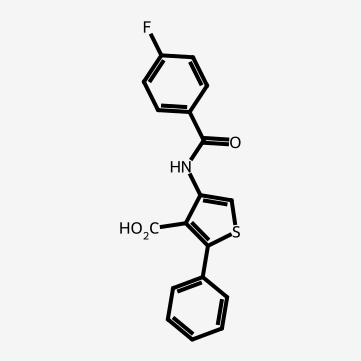 O=C(Nc1csc(-c2ccccc2)c1C(=O)O)c1ccc(F)cc1